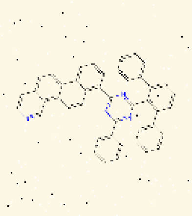 c1ccc(-c2nc(-c3c(-c4ccccc4)cccc3-c3ccccc3)nc(-c3cccc4c3ccc3c5cnccc5ccc43)n2)cc1